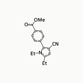 CCc1cc(C#N)c(-c2ccc(C(=O)OC)cc2)n1CC